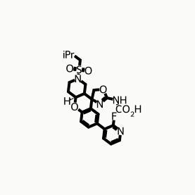 CC(C)CS(=O)(=O)N1CC[C@@H]2Oc3ccc(-c4cccnc4F)cc3C3(COC(NC(=O)O)=N3)C2C1